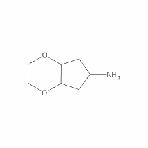 NC1CC2OCCOC2C1